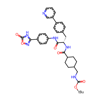 CC(C)(C)OC(=O)NCC1CCC(C(=O)N[C@@H](Cc2ccc(-c3cccnc3)cc2)C(=O)Nc2ccc(-c3noc(=O)[nH]3)cc2)CC1